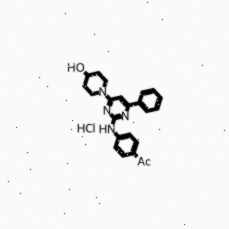 CC(=O)c1ccc(Nc2nc(-c3ccccc3)cc(N3CCC(O)CC3)n2)cc1.Cl